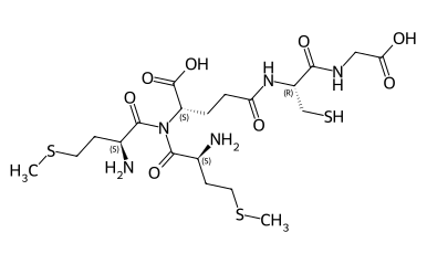 CSCC[C@H](N)C(=O)N(C(=O)[C@@H](N)CCSC)[C@@H](CCC(=O)N[C@@H](CS)C(=O)NCC(=O)O)C(=O)O